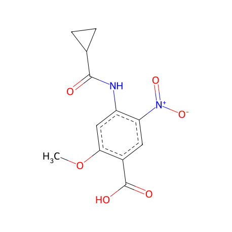 COc1cc(NC(=O)C2CC2)c([N+](=O)[O-])cc1C(=O)O